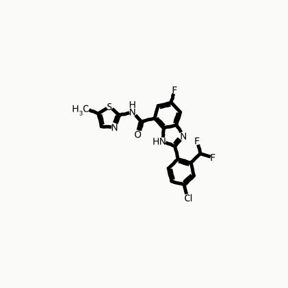 Cc1cnc(NC(=O)c2cc(F)cc3nc(-c4ccc(Cl)cc4C(F)F)[nH]c23)s1